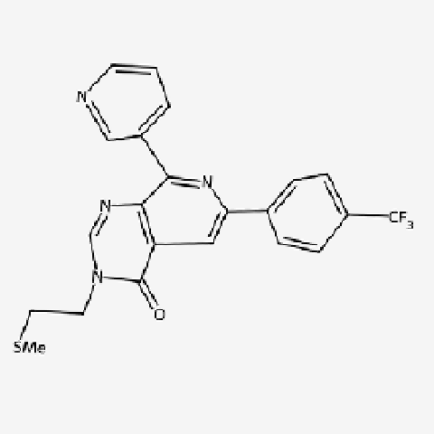 CSCCn1cnc2c(-c3cccnc3)nc(-c3ccc(C(F)(F)F)cc3)cc2c1=O